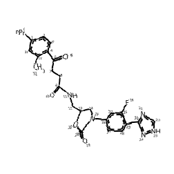 CCCc1ccc(C(=O)CCC(=O)NCC2CN(c3ccc(-c4nc[nH]n4)c(F)c3)C(=O)O2)c(C)c1